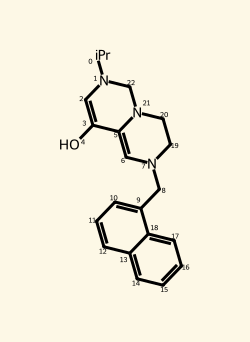 CC(C)N1C=C(O)C2=CN(Cc3cccc4ccccc34)CCN2C1